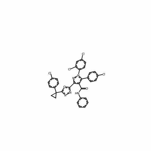 O=C(Nc1ccccc1)c1c(-c2nnc(C3(c4ccc(Cl)cc4)CC3)o2)nn(-c2ccc(Cl)cc2Cl)c1-c1ccc(Cl)cc1